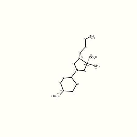 BCCC[C@H]1CN(C2CCC(C(=O)O)CC2)C[C@@]1(N)C(=O)O